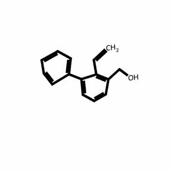 C=Cc1c(CO)cccc1-c1ccccc1